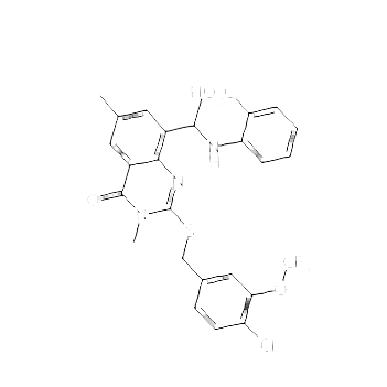 Cc1cc(C(C)Nc2ccccc2C(=O)O)c2nc(SCc3ccc(Cl)c(OC(F)(F)F)c3)n(C)c(=O)c2c1